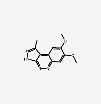 COc1cc2nnc3[nH]nc(C)c3c2cc1OC